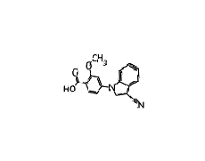 COc1cc(-n2cc(C#N)c3ccccc32)ccc1C(=O)O